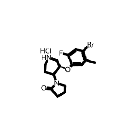 Cc1cc(O[C@@H]2CNCCC2N2CCCC2=O)c(F)cc1Br.Cl